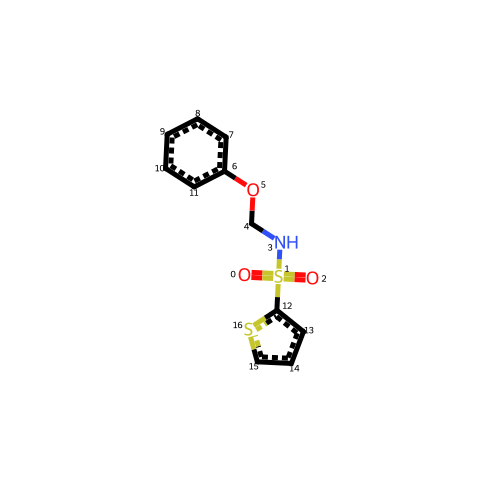 O=S(=O)(NCOc1ccccc1)c1cccs1